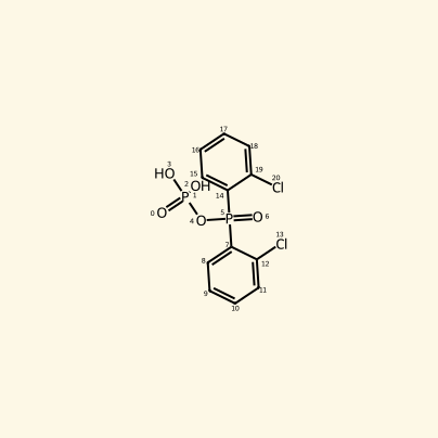 O=P(O)(O)OP(=O)(c1ccccc1Cl)c1ccccc1Cl